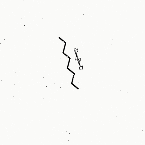 C[CH2][Hg][Cl].[CH2]CCCCCCC